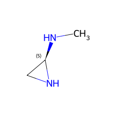 CN[C@@H]1CN1